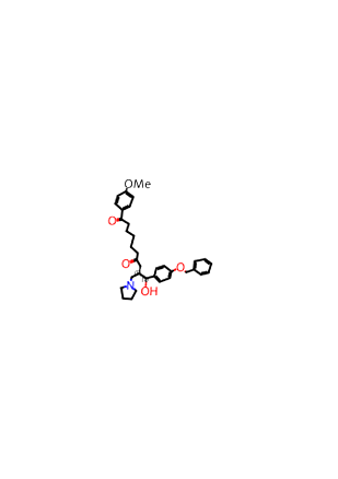 COc1ccc(C(=O)CCCCCC(=O)C[C@H](CN2CCCC2)[C@H](O)c2ccc(OCc3ccccc3)cc2)cc1